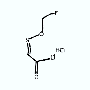 Cl.O=C(Cl)/C=N\OCF